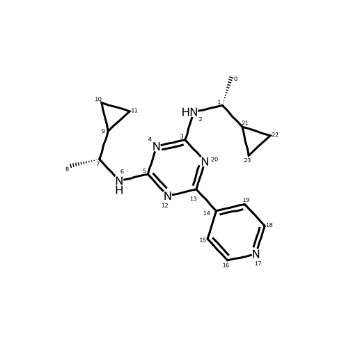 C[C@@H](Nc1nc(N[C@H](C)C2CC2)nc(-c2ccncc2)n1)C1CC1